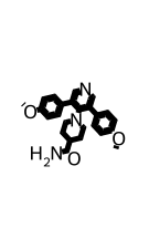 COc1ccc(-c2cncc(-c3ccc(OC)cc3)c2N2CCC(C(N)=O)CC2)cc1